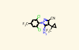 N#Cc1nn(-c2c(Cl)cc(C(F)(F)F)cc2Cl)c(N)c1C1(C(F)(F)F)CC1